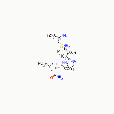 CC(C)[C@H](N)C(=O)O.CC(C)[C@H](N)C(=O)O.NC(=O)CC[C@H](N)C(=O)O.N[C@@H](CS)C(=O)O.O=C(O)[C@@H]1CCCN1